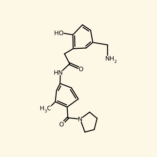 Cc1cc(NC(=O)Cc2cc(CN)ccc2O)ccc1C(=O)N1CCCC1